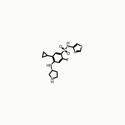 O=S(=O)(Nc1cscn1)c1cc(C2CC2)c(N[C@H]2CCNC2)cc1F